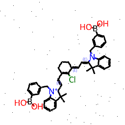 CC1(C)C(/C=C/C2=C(Cl)C(=C/C=C3/N(Cc4cccc(B(O)O)c4)c4ccccc4C3(C)C)/CCC2)=[N+](Cc2cccc(B(O)O)c2)c2ccccc21